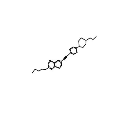 CCCCCc1ccc2cc(C#Cc3ccc(C4CCC(CCC)CC4)cc3)ccc2c1